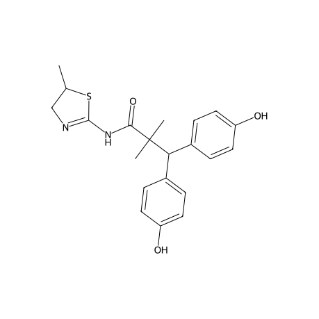 CC1CN=C(NC(=O)C(C)(C)C(c2ccc(O)cc2)c2ccc(O)cc2)S1